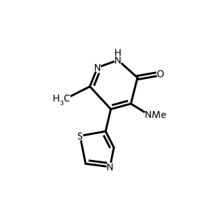 CNc1c(-c2cncs2)c(C)n[nH]c1=O